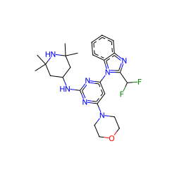 CC1(C)CC(Nc2nc(N3CCOCC3)cc(-n3c(C(F)F)nc4ccccc43)n2)CC(C)(C)N1